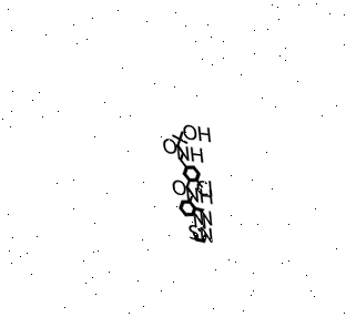 CC(C)(CO)C(=O)NCc1ccc(Cl)c(C(=O)Nc2cccc3c2cnn3-c2nccs2)c1